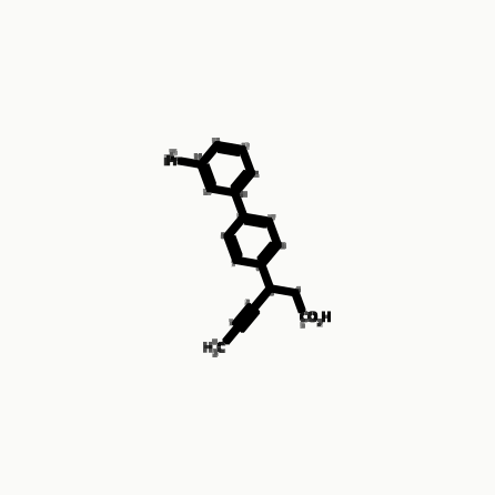 CC#CC(CC(=O)O)c1ccc(-c2cccc(C(C)C)c2)cc1